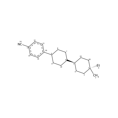 CC[C@]1(C)CC[C@@H](C2CCC(c3ccc(C#N)cc3)CC2)CC1